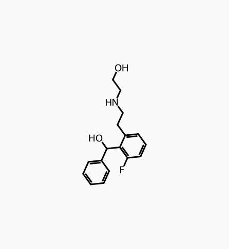 OCCNCCc1cccc(F)c1C(O)c1ccccc1